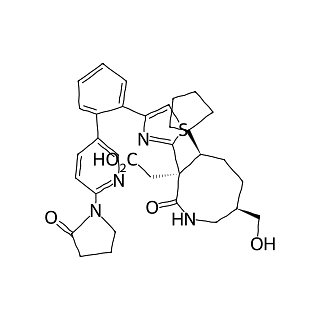 O=C(O)C[C@@]1(c2nc(-c3ccccc3-c3ccc(N4CCCC4=O)nc3)cs2)C(=O)NC[C@H](CO)CC[C@@H]1C1CCCC1